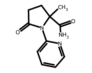 CC1(C(N)=O)CCC(=O)N1c1ccccn1